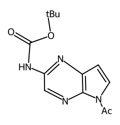 CC(=O)n1ccc2nc(NC(=O)OC(C)(C)C)cnc21